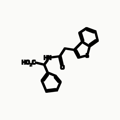 O=C(Cc1csc2ccccc12)NC(C(=O)O)c1ccccc1